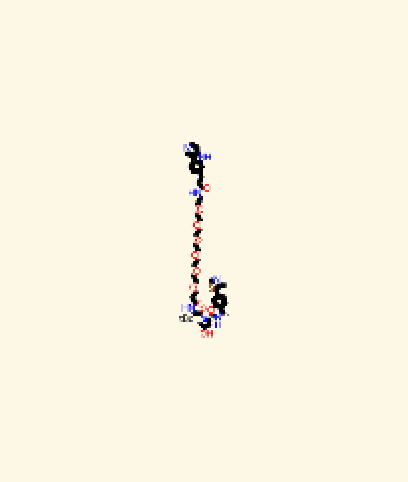 Cc1ncsc1-c1ccc([C@H](C)NC(=O)[C@@H]2C[C@@H](O)CN2C(=O)[C@@H](NC(=O)CCOCCOCCOCCOCCOCCOCCNC(=O)CCc2ccc3c(c2)[nH]c2ccncc23)C(C)(C)C)cc1